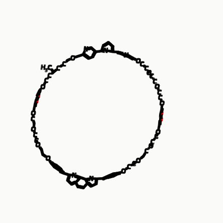 CC1CCCOc2ccc(cn2)-c2cccc(n2)-c2ccc(nc2)OCCOCCOCCOc2ccc(cc2)OCCOCCOCCOc2ccc(cc2)-c2ccc3ccc4ccc(nc4c3n2)-c2ccc(cc2)OCCOCCOCCOc2ccc(cc2)OCC1